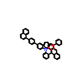 C1=CCC2C(=C1)Oc1cc3ccccc3c(-c3ccccc3N(c3ccc(-c4ccccc4)cc3)c3ccc(-c4ccc(-c5cccc6ccccc56)cc4)cc3)c12